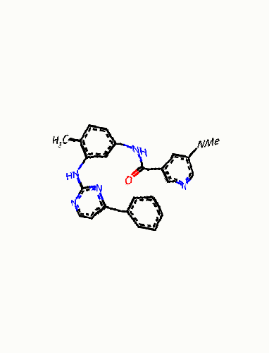 CNc1cncc(C(=O)Nc2ccc(C)c(Nc3nccc(-c4ccccc4)n3)c2)c1